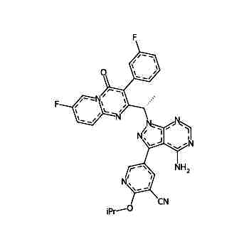 CC(C)Oc1ncc(-c2nn([C@@H](C)c3nc4ccc(F)cn4c(=O)c3-c3cccc(F)c3)c3ncnc(N)c23)cc1C#N